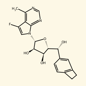 Cc1ncnc2c1c(F)cn2[C@@H]1O[C@H]([C@H](O)c2ccc3c(c2)CC3)[C@@H](O)[C@H]1O